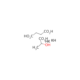 CC(O)C(=O)O.O=C(O)CCC(=O)O.[KH].[KH]